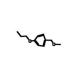 CCCOc1ccc(COC)cc1